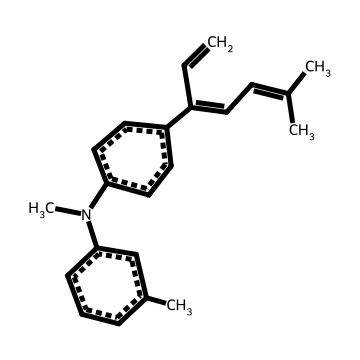 C=C/C(=C\C=C(C)C)c1ccc(N(C)c2cccc(C)c2)cc1